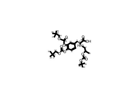 CC(CN[C@@H](Cc1ccc(OC(=O)OCC(C)(C)C)c(OC(=O)OCC(C)(C)C)c1)C(=O)O)OC(=O)OC(C)(C)C